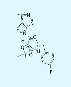 Cc1ncnc2c1ccn2[C@@H]1O[C@H](Cc2ccc(F)cc2)[C@H]2OC(C)(C)O[C@H]21